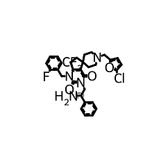 N[C@@H](Cn1c(=O)c2c(n(Cc3c(F)cccc3C(F)(F)F)c1=O)CCC21CCN(Cc2ccc(Cl)o2)CC1)c1ccccc1